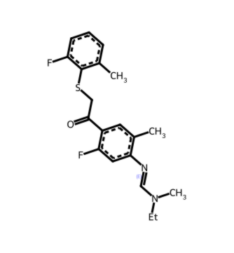 CCN(C)/C=N/c1cc(F)c(C(=O)CSc2c(C)cccc2F)cc1C